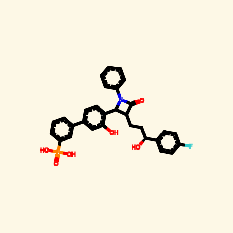 O=C1C(CC[C@H](O)c2ccc(F)cc2)C(c2ccc(-c3cccc(P(=O)(O)O)c3)cc2O)N1c1ccccc1